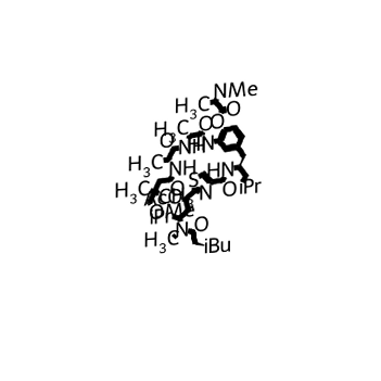 CC[C@H](C)CC(=O)N(C)C(C[C@@H](OC(C)=O)c1nc(C(=O)N[C@@H](Cc2ccc(OC(=O)C(C)NC)c(NC(=O)C(C)NC(=O)C(C)NC(=O)CC(C)(C)COC)c2)CC(C)C)cs1)C(C)C